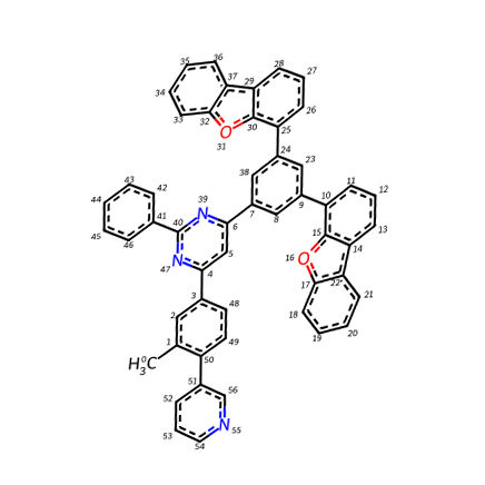 Cc1cc(-c2cc(-c3cc(-c4cccc5c4oc4ccccc45)cc(-c4cccc5c4oc4ccccc45)c3)nc(-c3ccccc3)n2)ccc1-c1cccnc1